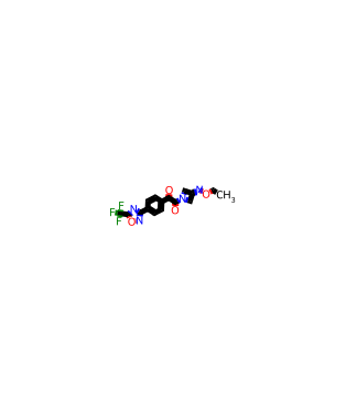 CCON=C1CN(C(=O)C(=O)c2ccc(-c3noc(C(F)(F)F)n3)cc2)C1